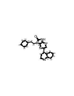 O=c1[nH]c2ncc(-c3ccnc4ccccc34)nc2n1CCc1ccccc1